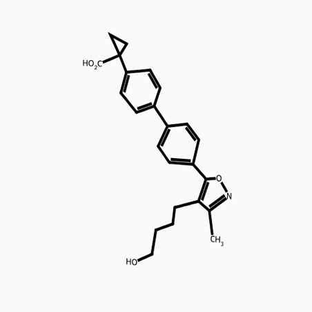 Cc1noc(-c2ccc(-c3ccc(C4(C(=O)O)CC4)cc3)cc2)c1CCCCO